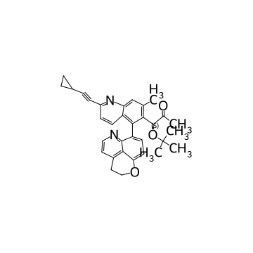 CC(=O)[C@@H](OC(C)(C)C)c1c(C)cc2nc(C#CC3CC3)ccc2c1-c1ccc2c3c(ccnc13)CCO2